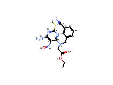 CCOC(=O)CN(Cc1cccc(C#N)c1)c1nc(SC)nc(N)c1N=O